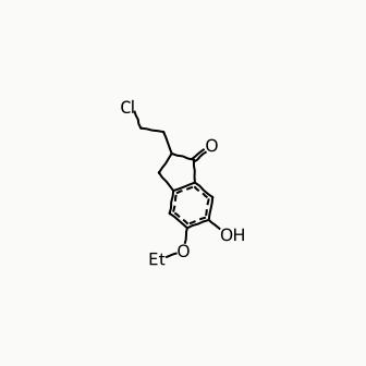 CCOc1cc2c(cc1O)C(=O)C(CCCl)C2